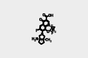 COc1c(N2C[C@@]3(C)CCC[C@@]3(N)C2)c(F)cc2c(=O)c(C(=O)O)cn([C@@H]3C[C@@H]3F)c12